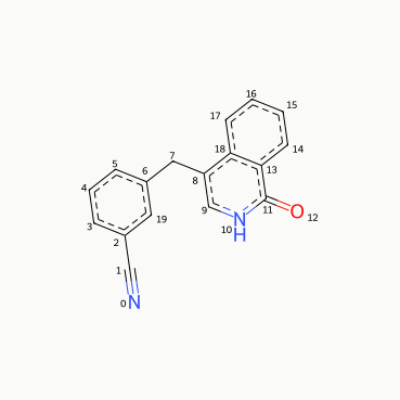 N#Cc1cccc(Cc2c[nH]c(=O)c3ccccc23)c1